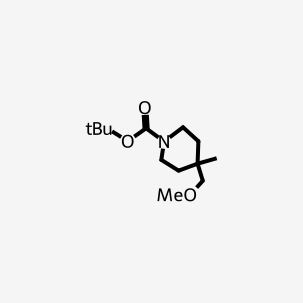 COCC1(C)CCN(C(=O)OC(C)(C)C)CC1